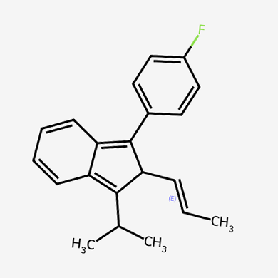 C/C=C/C1C(c2ccc(F)cc2)=c2ccccc2=C1C(C)C